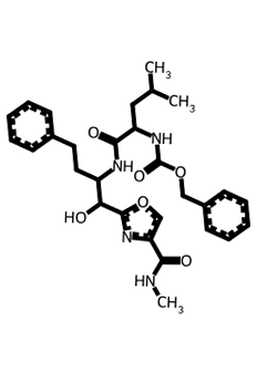 CNC(=O)c1coc(C(O)C(CCc2ccccc2)NC(=O)C(CC(C)C)NC(=O)OCc2ccccc2)n1